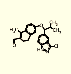 CC1=C(C=O)CCc2cc(OC(c3ccc4[nH]nc(Cl)c4c3)C(C)C)ccc21